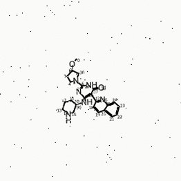 CO[C@H]1CCN(c2nc(N[C@@H]3CCCNC3)c(-c3ccc4ccccc4n3)c(=O)[nH]2)C1